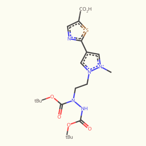 C[n+]1cc(-c2ncc(C(=O)O)s2)cn1CCN(NC(=O)OC(C)(C)C)C(=O)OC(C)(C)C